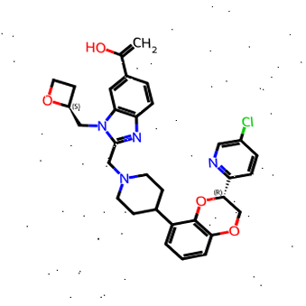 C=C(O)c1ccc2nc(CN3CCC(c4cccc5c4O[C@H](c4ccc(Cl)cn4)CO5)CC3)n(C[C@@H]3CCO3)c2c1